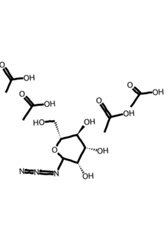 CC(=O)O.CC(=O)O.CC(=O)O.CC(=O)O.[N-]=[N+]=NC1O[C@H](CO)[C@@H](O)[C@H](O)[C@@H]1O